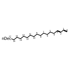 C=C/C=C/CCCCCCCCCCCCCCCCCCCCCCC